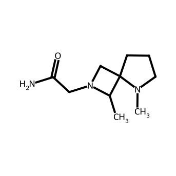 CC1N(CC(N)=O)CC12CCCN2C